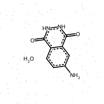 Nc1ccc2c(=O)[nH][nH]c(=O)c2c1.O